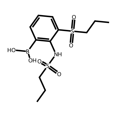 CCCS(=O)(=O)Nc1c(B(O)O)cccc1S(=O)(=O)CCC